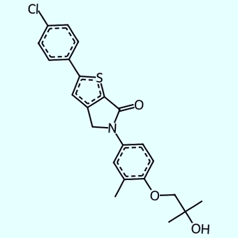 Cc1cc(N2Cc3cc(-c4ccc(Cl)cc4)sc3C2=O)ccc1OCC(C)(C)O